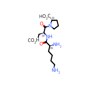 NCCCC[C@H](N)C(=O)N[C@@H](CC(=O)O)C(=O)N1CCC[C@H]1C(=O)O